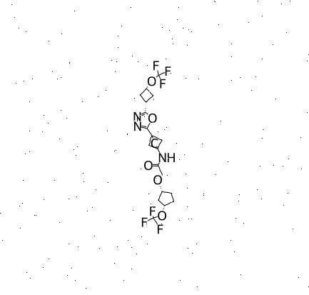 O=C(CO[C@@H]1CC[C@H](OC(F)(F)F)C1)NC12CC(c3nnc([C@H]4C[C@@H](OC(F)(F)F)C4)o3)(C1)C2